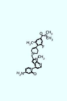 Cc1cc(C(=O)N(C)C)cc(F)c1C1=CCN(Cc2cc3c(-n4ccc(N)cc4=O)ccnc3n2C)CC1